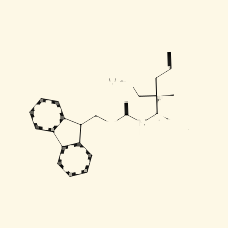 C=CC[C@@](C)(COC)[C@H](NC(=O)OCC1c2ccccc2-c2ccccc21)C(=O)O